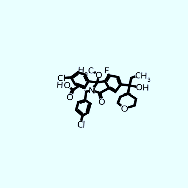 CCC(O)(c1cc(F)c2c(c1)C(=O)N([C@@H](CC(=O)O)c1ccc(Cl)cc1)C2(OC)c1ccc(Cl)cc1)C1CCOCC1